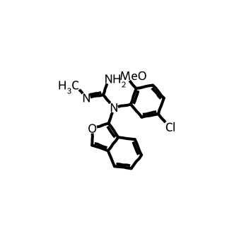 CN=C(N)N(c1cc(Cl)ccc1OC)c1occ2ccccc12